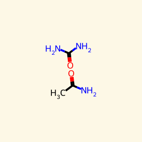 CC(N)=O.NC(N)=O